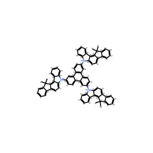 CC1(C)c2ccccc2-c2ccc3c(c21)c1ccccc1n3-c1ccc2c(c1)c1ccc(-n3c4ccccc4c4c5c(ccc43)-c3ccccc3C5(C)C)cc1c1ccc(-n3c4ccccc4c4c5c(ccc43)-c3ccccc3C5(C)C)cc21